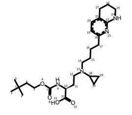 CC(C)(C)CCOC(=O)N[C@@H](CCN(CCCCc1ccc2c(n1)NCCC2)C1CC1)C(=O)O